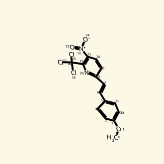 COc1ccc(/C=C/c2ccc([N+](=O)[O-])c(C(Cl)(Cl)Cl)n2)cc1